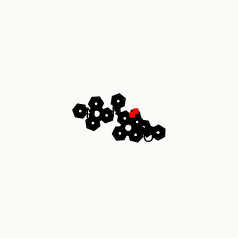 c1ccc(N(c2ccc3c(c2)-c2ccccc2N(c2ccccc2)c2ccccc2-3)c2ccc3c(c2)-c2ccccc2-c2ccccc2C32c3ccccc3-c3cc4c(cc32)oc2ccccc24)cc1